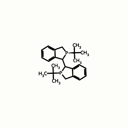 CC(C)(C)P1Cc2ccccc2C1C1c2ccccc2C[P@@]1C(C)(C)C